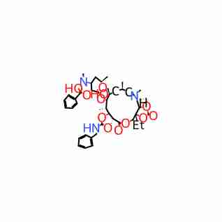 CC[C@H]1OC(=O)[C@H](C)[C@@H](OC(=O)NCc2ccccc2)[C@H](C)[C@@H](O[C@@H]2O[C@H](C)C[C@H](N(C)C)[C@H]2OC(O)c2ccccc2)[C@](C)(O)C[C@@H](C)CN(C)[C@H](C)[C@H]2OC(=O)O[C@@]21C